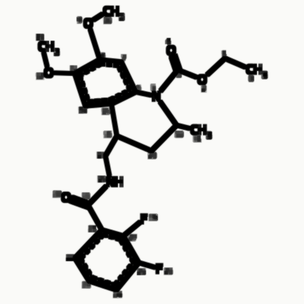 CCOC(=O)N1c2cc(OC)c(OC)cc2C(CNC(=O)c2cccc(F)c2F)CC1C